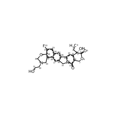 CC[C@@]1(O)C(=O)OCc2c1cc1n(c2=O)Cc2cc3c4c(c(F)cc3nc2-1)OCN(CCO)C4